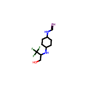 OCC(NC1CCC(NC=P)CC1)C(F)(F)F